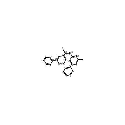 Cc1cc(-c2ccccc2)c2c(n1)nc(C)c1cc(-c3ccccc3)ccc12